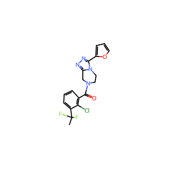 CC(F)(F)c1cccc(C(=O)N2CCn3c(nnc3-c3ccco3)C2)c1Cl